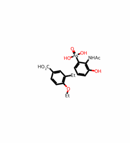 CC(=O)Nc1c(O)cccc1[As](=O)(O)O.CCOc1ccc(C(=O)O)cc1CC